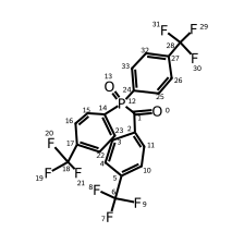 O=C(c1ccc(C(F)(F)F)cc1)P(=O)(c1ccc(C(F)(F)F)cc1)c1ccc(C(F)(F)F)cc1